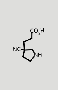 N#CC1(CCC(=O)O)CCNC1